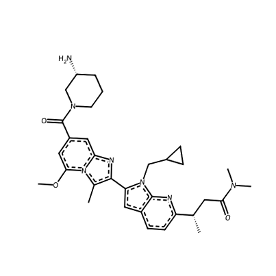 COc1cc(C(=O)N2CCC[C@@H](N)C2)cc2nc(-c3cc4ccc([C@@H](C)CC(=O)N(C)C)nc4n3CC3CC3)c(C)n12